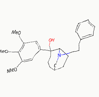 COc1cc(C2(O)CC3CCC2N(Cc2ccccc2)C3)cc(OC)c1OC